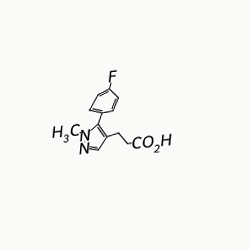 Cn1ncc(CCC(=O)O)c1-c1ccc(F)cc1